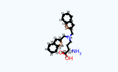 N[C@@H](CCN(Cc1cc2ccccc2s1)Cc1cc2ccccc2s1)C(=O)O